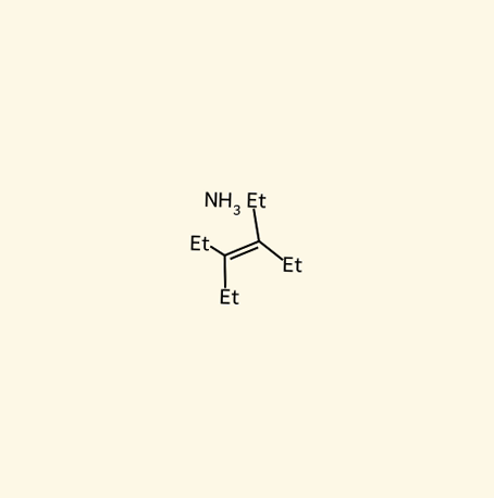 CCC(CC)=C(CC)CC.N